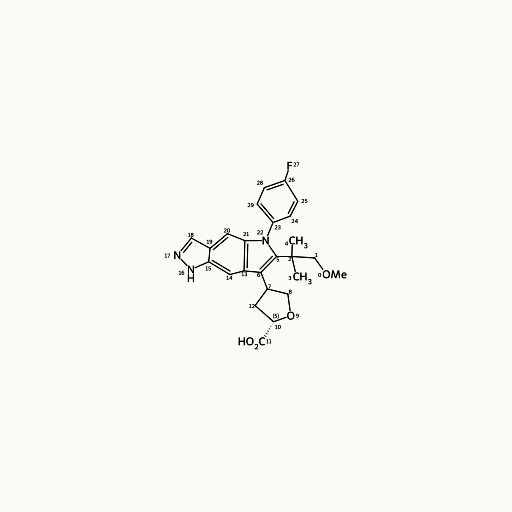 COCC(C)(C)c1c(C2CO[C@H](C(=O)O)C2)c2cc3[nH]ncc3cc2n1-c1ccc(F)cc1